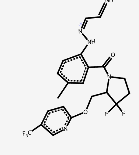 Cc1ccc(N/N=C\C=N)c(C(=O)N2CCC(F)(F)C2COc2ccc(C(F)(F)F)cn2)c1